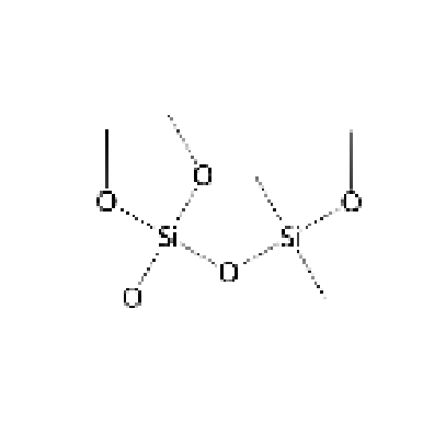 CO[Si](C)(C)O[Si](OC)(OC)OC